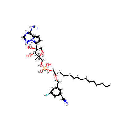 CCCCCCCCCCCCC[C@@H](COP(=O)(O)OC[C@@]1(C)OCC(O)(c2ccc3c(N)ncnn23)[C@@H]1O)OCc1cc(F)cc(C#N)c1